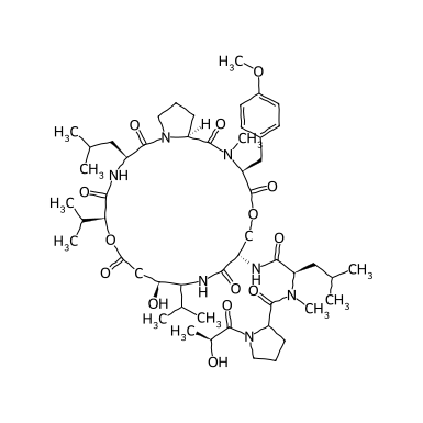 COc1ccc(C[C@H]2C(=O)OC[C@H](NC(=O)[C@@H](CC(C)C)N(C)C(=O)C3CCCN3C(=O)[C@H](C)O)C(=O)NC(C(C)C)[C@@H](O)CC(=O)O[C@@H](C(C)C)C(=O)N[C@@H](CC(C)C)C(=O)N3CCC[C@H]3C(=O)N2C)cc1